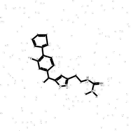 CC(c1ccc(-c2ccccc2)c(F)c1)c1cc(CCNC(=N)N(C)C)no1